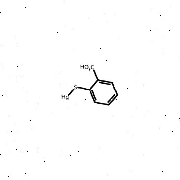 O=C(O)c1ccccc1[S][Hg]